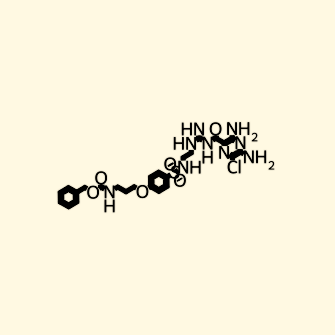 N=C(NCCNS(=O)(=O)c1ccc(OCCCNC(=O)OCc2ccccc2)cc1)NC(=O)c1nc(Cl)c(N)nc1N